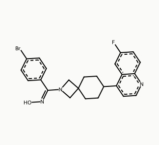 O/N=C(\c1ccc(Br)cc1)N1CC2(CCC(c3ccnc4ccc(F)cc34)CC2)C1